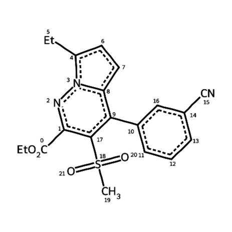 CCOC(=O)c1nn2c(CC)ccc2c(-c2cccc(C#N)c2)c1S(C)(=O)=O